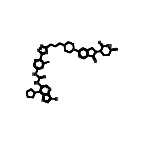 Cc1cc(NC(=O)Nc2cnc3c(Cl)cnn3c2C2CCCC2)cnc1-c1noc(CCCN2CCN(c3ccc4c(c3)CN(C3CCC(=O)NC3=O)C4=O)CC2)n1